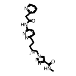 CNC(=O)c1cn(C[C@H](C)CCc2ccc(NC(=O)Cc3ccccn3)nn2)nn1